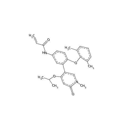 C=CC(=O)Nc1ccc(Oc2c(C)cccc2C)c(-c2cn(C)c(=O)cc2OC(C)C)c1